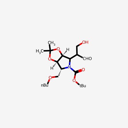 CCCCOC[C@@H]1[C@H]2OC(C)(C)O[C@H]2C(C(C=O)CO)N1C(=O)OC(C)(C)C